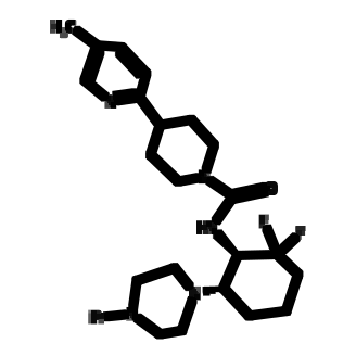 Cc1ccc(C2CCN(C(=O)N[C@@H]3[C@@H](N4CCN(C(C)C)CC4)CCCC3(F)F)CC2)nc1